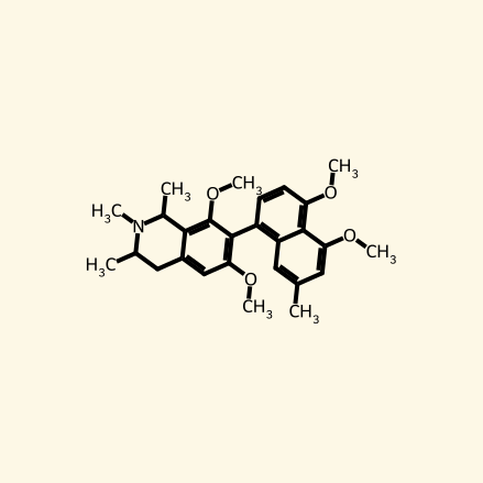 COc1cc2c(c(OC)c1-c1ccc(OC)c3c(OC)cc(C)cc13)C(C)N(C)C(C)C2